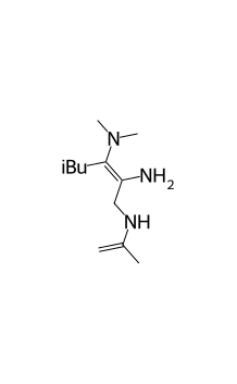 C=C(C)NC/C(N)=C(\C(C)CC)N(C)C